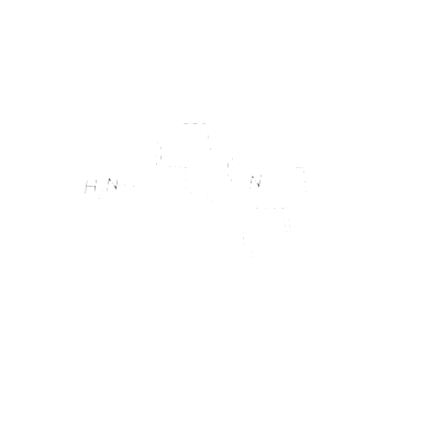 NCC1=CCCc2cc(N3CCCc4ccccc43)ccc21